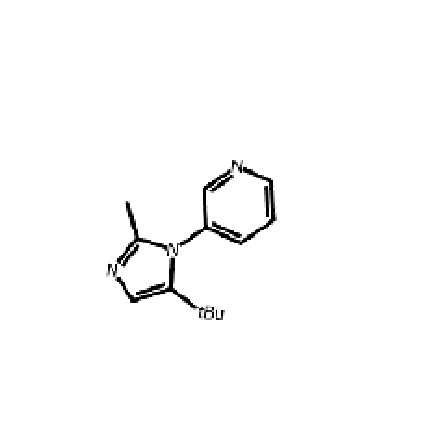 Cc1ncc(C(C)(C)C)n1-c1cccnc1